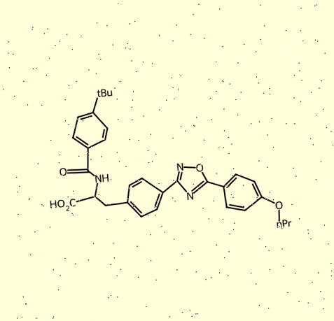 CCCOc1ccc(-c2nc(-c3ccc(CC(NC(=O)c4ccc(C(C)(C)C)cc4)C(=O)O)cc3)no2)cc1